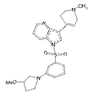 COC1CCN(c2cccc(S(=O)(=O)n3cc(C4=CCN(C)CC4)c4ncccc43)c2)C1